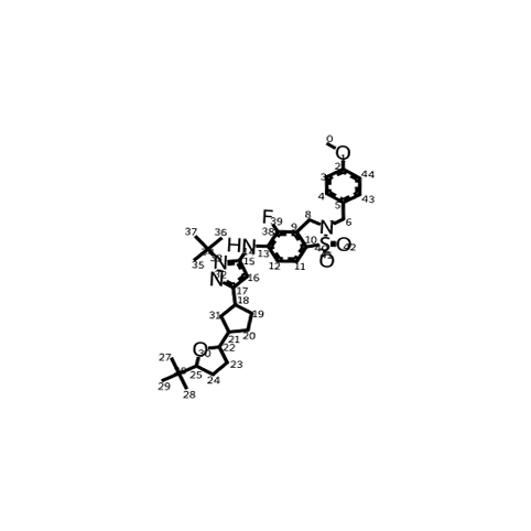 COc1ccc(CN2Cc3c(ccc(Nc4cc(C5CCC(C6CCC(C(C)(C)C)O6)C5)nn4C(C)(C)C)c3F)S2(=O)=O)cc1